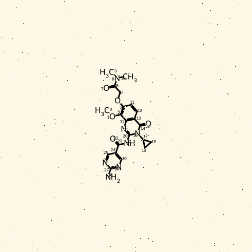 COc1c(OCC(=O)N(C)C)ccc2c(=O)n(C3CC3)c(NC(=O)c3cnc(N)nc3)nc12